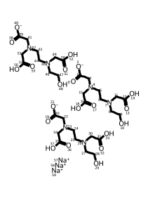 O=C([O-])CN(CCN(CCO)CC(=O)O)CC(=O)O.O=C([O-])CN(CCN(CCO)CC(=O)O)CC(=O)O.O=C([O-])CN(CCN(CCO)CC(=O)O)CC(=O)O.[Na+].[Na+].[Na+]